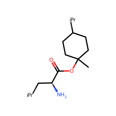 CC(C)C[C@H](N)C(=O)OC1(C)CCC(C(C)C)CC1